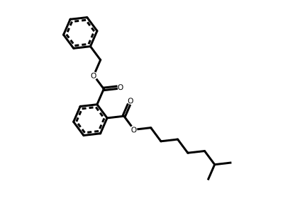 CC(C)CCCCCOC(=O)c1ccccc1C(=O)OCc1ccccc1